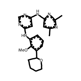 COc1c(Nc2cc(Nc3cc(C)nc(C)n3)ncn2)cccc1C1CCCCO1